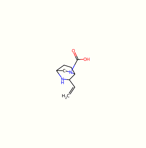 C=CC1NC2CCC1N(C(=O)O)C2